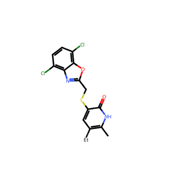 CCc1cc(SCc2nc3c(Cl)ccc(Cl)c3o2)c(=O)[nH]c1C